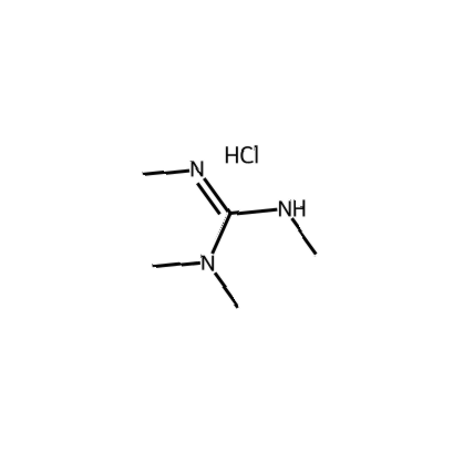 CN=C(NC)N(C)C.Cl